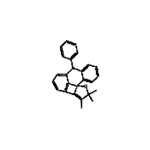 CC1=C2c3cccc4c3C2(OC1(C)C)c1ccccc1N4c1ccccc1